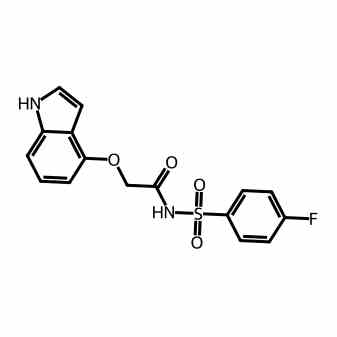 O=C(COc1cccc2[nH]ccc12)NS(=O)(=O)c1ccc(F)cc1